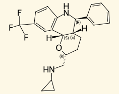 FC(F)(F)c1ccc2c(c1)[C@H]1O[C@@H](CNC3CC3)CC[C@H]1[C@H](c1ccccc1)N2